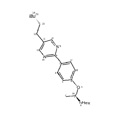 CCCCCC[C@@H](C)Oc1ccc(-c2ncc(CC[C@@H](C)CC)cn2)cc1